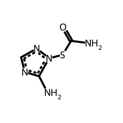 NC(=O)Sn1ncnc1N